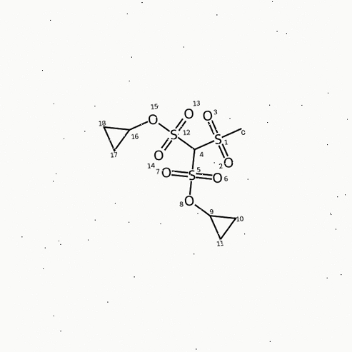 CS(=O)(=O)C(S(=O)(=O)OC1CC1)S(=O)(=O)OC1CC1